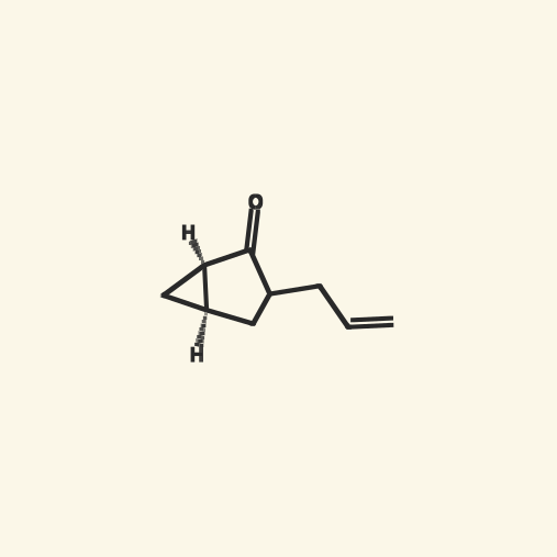 C=CCC1C[C@H]2C[C@H]2C1=O